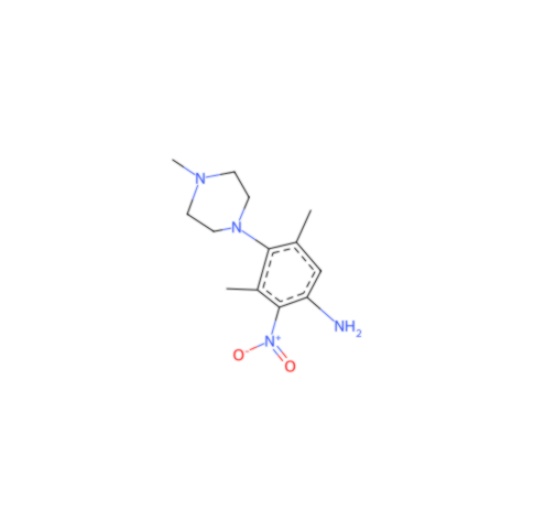 Cc1cc(N)c([N+](=O)[O-])c(C)c1N1CCN(C)CC1